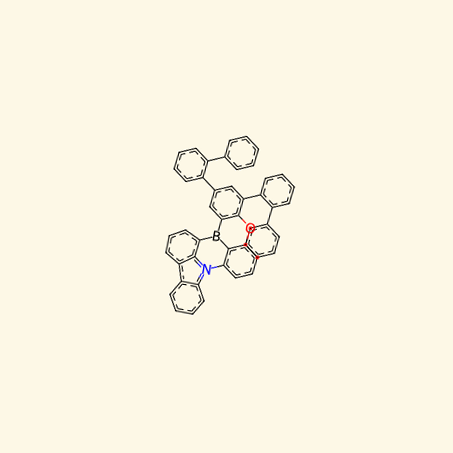 c1ccc(-c2ccccc2-c2cc3c(c(-c4ccccc4-c4ccccc4)c2)Oc2cccc4c2B3c2cccc3c5ccccc5n-4c23)cc1